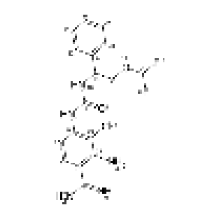 N=C(N)c1cnc(NC(=O)NC(COC(F)F)c2ccccc2)c(Cl)c1N